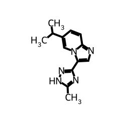 Cc1nc(-c2cnc3ccc(C(C)C)cn23)n[nH]1